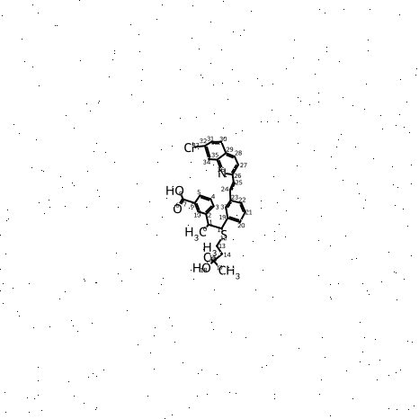 CC(c1cccc(C(=O)O)c1)C(SCCC(C)(C)O)c1cccc(C=Cc2ccc3ccc(Cl)cc3n2)c1